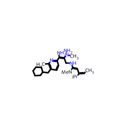 C/C=C(\C=C(/NC)NC/C(=C(/N)c1ccc(CC2CCCCC2)c(C)n1)N(C)N)C(C)C